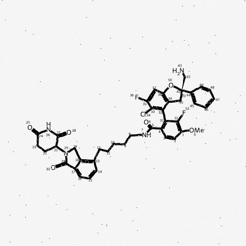 COc1ccc(C(=O)NCCCCCc2cccc3c2CN(C2CCC(=O)NC2=O)C3=O)c(-c2c(Cl)c(F)cc3c2C[C@@](CN)(c2ccccc2)O3)c1F